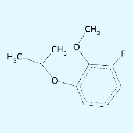 COc1c(F)cccc1OC(C)C